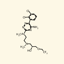 CN(CC[As](C)c1nnc(-c2cccc(Cl)c2Cl)c(N)n1)C[C@H](O)COCC(F)(F)F